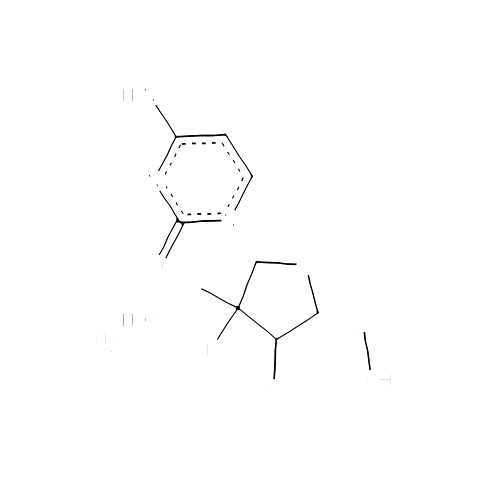 Nc1ccn([C@@H]2O[C@H](CO)C(O)C2(F)F)c(=O)n1.O.O